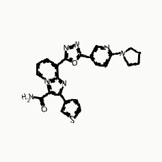 NC(=O)c1c(-c2ccsc2)nc2c(-c3nnc(-c4ccc(N5CCCC5)nc4)o3)cccn12